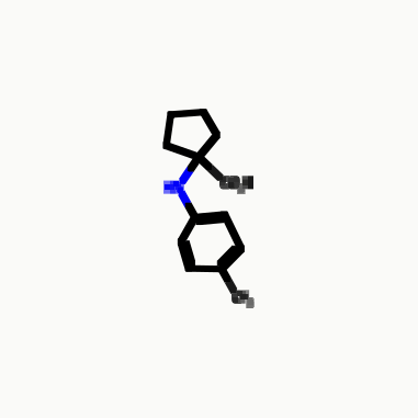 O=C(O)C1(Nc2ccc(C(F)(F)F)cc2)CCCC1